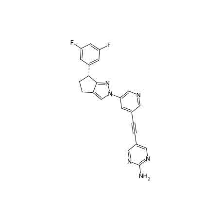 Nc1ncc(C#Cc2cncc(-n3cc4c(n3)[C@@H](c3cc(F)cc(F)c3)CC4)c2)cn1